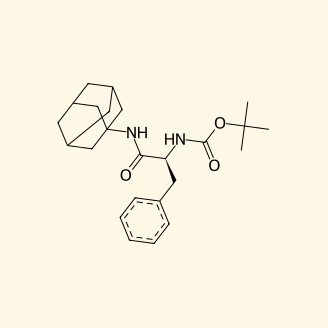 CC(C)(C)OC(=O)N[C@@H](Cc1ccccc1)C(=O)NC12CC3CC(CC(C3)C1)C2